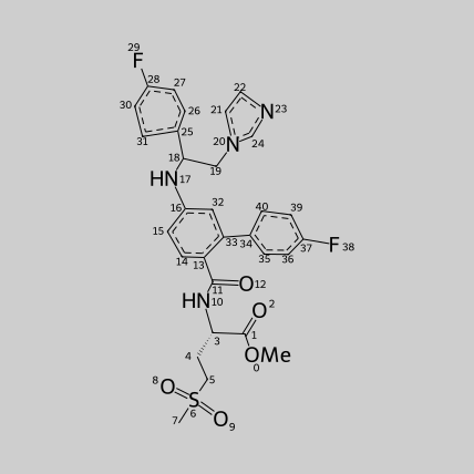 COC(=O)[C@H](CCS(C)(=O)=O)NC(=O)c1ccc(NC(Cn2ccnc2)c2ccc(F)cc2)cc1-c1ccc(F)cc1